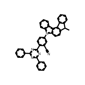 CC1c2ccccc2-c2c1ccc1c2c2ccccc2n1-c1ccc(-c2nc(-c3ccccc3)nc(-c3ccccc3)n2)c(C#N)c1